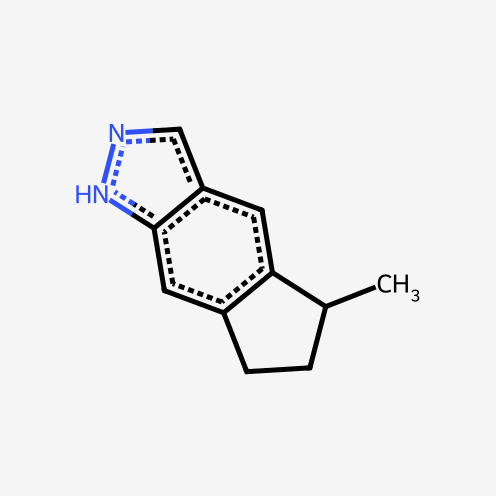 CC1CCc2cc3[nH]ncc3cc21